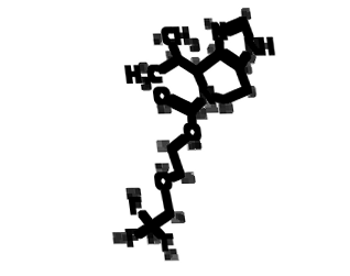 CC(C)C1c2nc[nH]c2CCN1C(=O)OCCOCC(F)(F)F